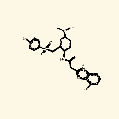 CC(C)N(C)C1CCC(NC(=O)Cc2nc3c(C(F)(F)F)cccc3[nH]2)C(CS(=O)(=O)c2ccc(Br)cc2)C1